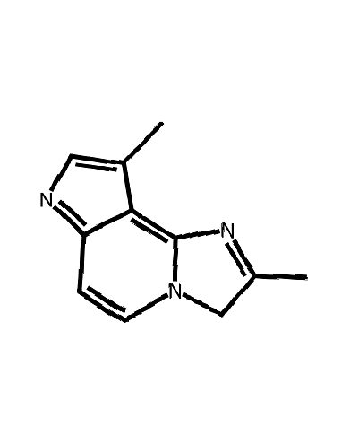 CC1=Nc2c3c(C)cnc-3ccn2C1